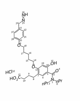 CCCN(CCC)C(=O)c1cc(CCCC(=O)O)c(OCCCCCOc2ccc(CN=N)cc2)cc1O.Cl